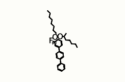 CCCCCCCCOC1(OC(C)CCCCC)C=CC(c2ccc(-c3ccccc3)cc2)=C[C@H]1F